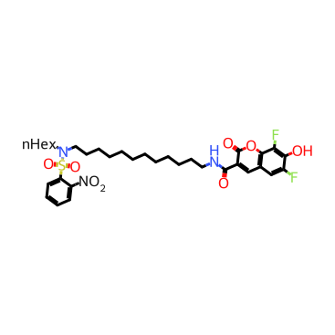 CCCCCCN(CCCCCCCCCCCCNC(=O)c1cc2cc(F)c(O)c(F)c2oc1=O)S(=O)(=O)c1ccccc1[N+](=O)[O-]